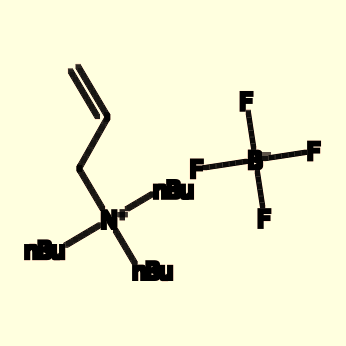 C=CC[N+](CCCC)(CCCC)CCCC.F[B-](F)(F)F